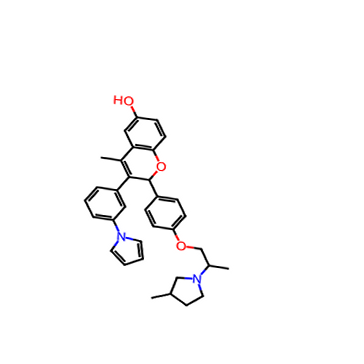 CC1=C(c2cccc(-n3cccc3)c2)C(c2ccc(OCC(C)N3CCC(C)C3)cc2)Oc2ccc(O)cc21